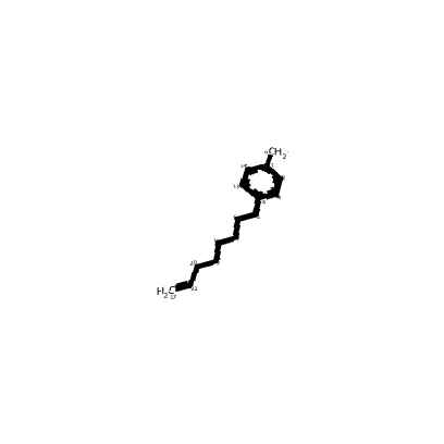 [CH2]c1ccc(CCCCCCC=C)cc1